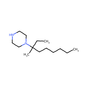 CCCCCCC(C)(CC)N1CCNCC1